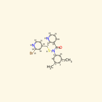 Cc1cc(C)cc(N(SCc2ccnc(Br)c2)C(=O)c2cccnc2)c1